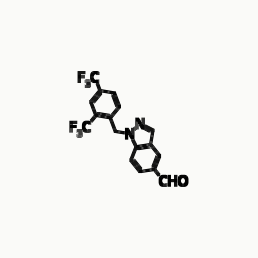 O=Cc1ccc2c(cnn2Cc2ccc(C(F)(F)F)cc2C(F)(F)F)c1